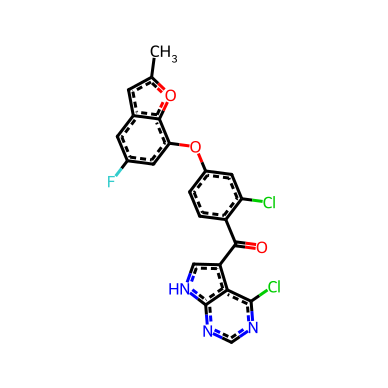 Cc1cc2cc(F)cc(Oc3ccc(C(=O)c4c[nH]c5ncnc(Cl)c45)c(Cl)c3)c2o1